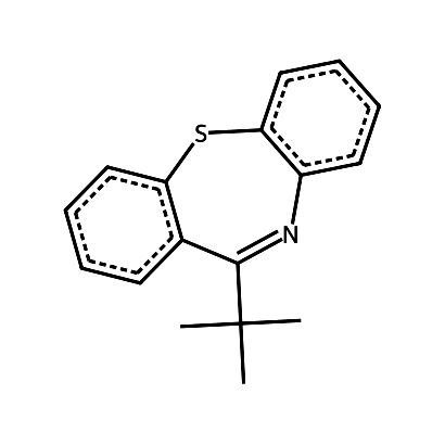 CC(C)(C)C1=Nc2ccccc2Sc2ccccc21